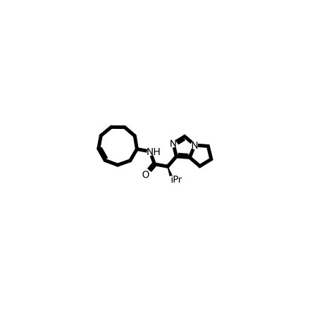 CC(C)[C@@H](C(=O)NC1CC/C=C\CCCC1)c1ncn2c1CCC2